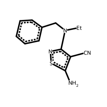 CCN(Cc1ccccc1)c1nsc(N)c1C#N